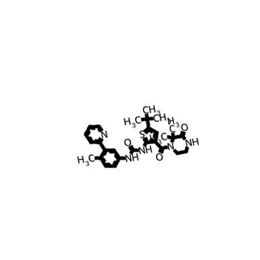 Cc1ccc(NC(=O)Nc2sc(C(C)(C)C)cc2C(=O)N2CCNC(=O)C2(C)C)cc1-c1ccccn1